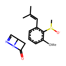 COc1cccc(C=C(C)C)c1[S+](C)[O-].O=C1CC2C=NN12